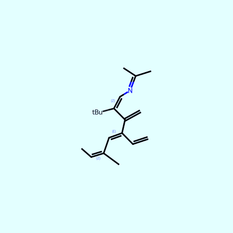 C=C/C(=C\C(C)=C/C)C(=C)/C(=C\N=C(C)C)C(C)(C)C